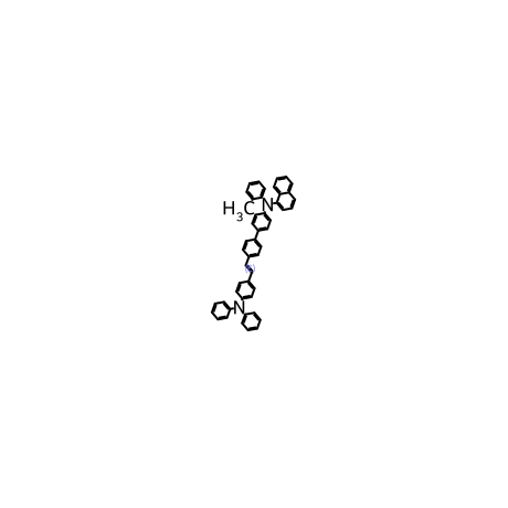 Cc1ccccc1N(c1ccc(-c2ccc(/C=C/c3ccc(N(c4ccccc4)c4ccccc4)cc3)cc2)cc1)c1cccc2ccccc12